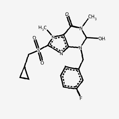 CN1C(=O)c2c(nc(S(=O)(=O)CC3CC3)n2C)N(Cc2cccc(F)c2)C1O